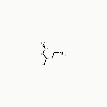 CC(CCN)CN=O